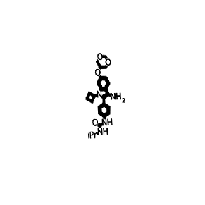 CC(C)NC(=O)Nc1ccc(-c2c(N)c3ccc(OC4COCOC4)cc3n2C2CCC2)cc1